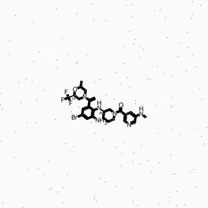 C=C(c1cc(Br)cc(N)c1N[C@@H]1CCCN(C(=O)c2cncc(NC)c2)C1)N1CC(C)O[C@H](C(F)(F)F)C1